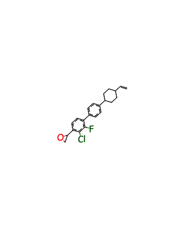 C=CC1CCC(c2ccc(-c3ccc(C4CO4)c(Cl)c3F)cc2)CC1